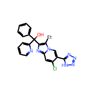 CCc1c(C(O)(c2ccccc2)c2ccccn2)nc2cc(Cl)c(-c3nnn[nH]3)cn12